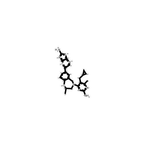 Cc1nc(N)nc(N2Cc3cc(-c4cnc5sc(N)nc5c4)ccc3OC(C)C2)c1CC1CC1